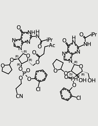 CC(=O)CCC(=O)OC[C@H]1O[C@@H](n2cnc3c(=O)[nH]c(NC(=O)C(C)C)nc32)[C@H](OC2CCCO2)[C@@H]1OP(=O)(OCCC#N)Oc1ccccc1Cl.CC(C)C(=O)Nc1nc2c(ncn2[C@@H]2O[C@H](CO)[C@](O)([PH](=O)Oc3ccccc3Cl)[C@H]2OC2CCCO2)c(=O)[nH]1